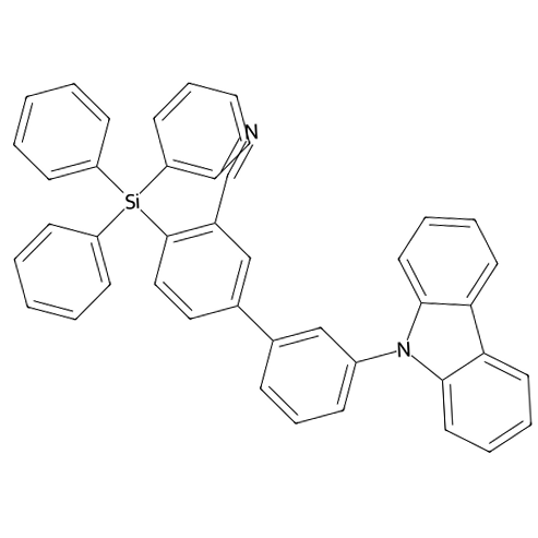 N#Cc1cc(-c2cccc(-n3c4ccccc4c4ccccc43)c2)ccc1[Si](c1ccccc1)(c1ccccc1)c1ccccc1